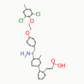 Cc1cc(Cl)c(OCCOc2ccc(CC(N)c3ccc(-c4ccccc4/C=C/C(=O)O)cc3C)cc2)c(Cl)c1